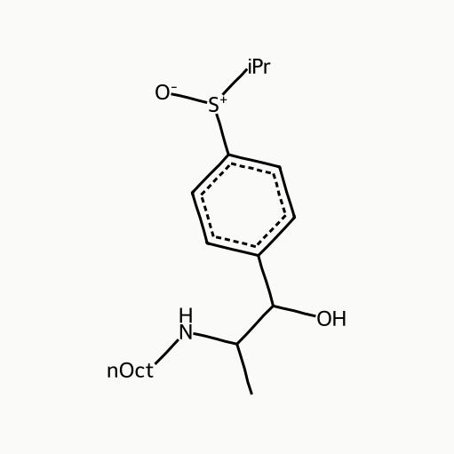 CCCCCCCCNC(C)C(O)c1ccc([S+]([O-])C(C)C)cc1